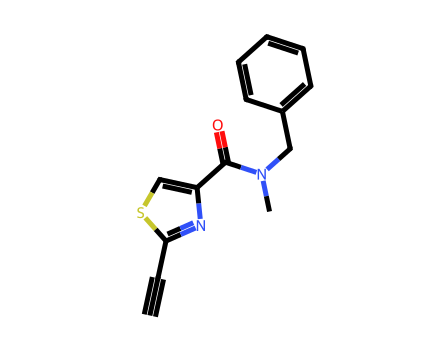 C#Cc1nc(C(=O)N(C)Cc2ccccc2)cs1